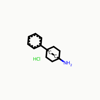 Cl.NC12CCC(c3ccccc3)(CC1)CC2